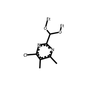 CCOC(OCC)c1nc(C)c(C)c(Cl)n1